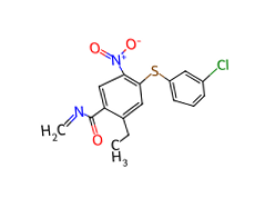 C=NC(=O)c1cc([N+](=O)[O-])c(Sc2cccc(Cl)c2)cc1CC